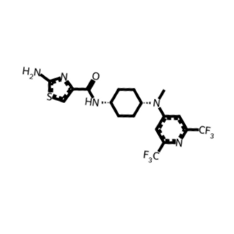 CN(c1cc(C(F)(F)F)nc(C(F)(F)F)c1)[C@H]1CC[C@@H](NC(=O)c2csc(N)n2)CC1